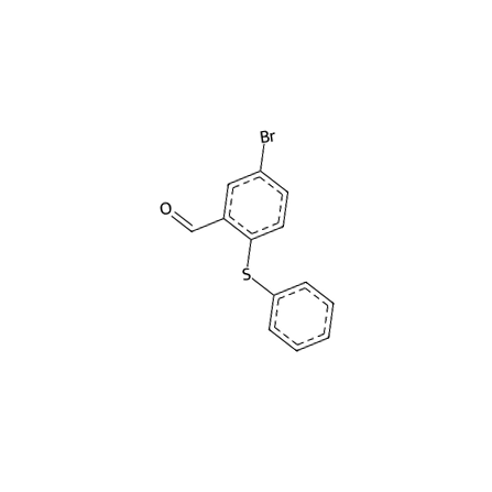 O=Cc1cc(Br)ccc1Sc1ccccc1